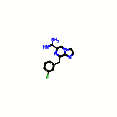 N=C(N)c1cn2ccnc2c(Cc2cccc(F)c2)n1